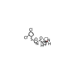 C[C@H]1[C@H](NC(=O)c2ncc(Sc3ccc(Cl)cc3Cl)o2)C2CCN1CC2